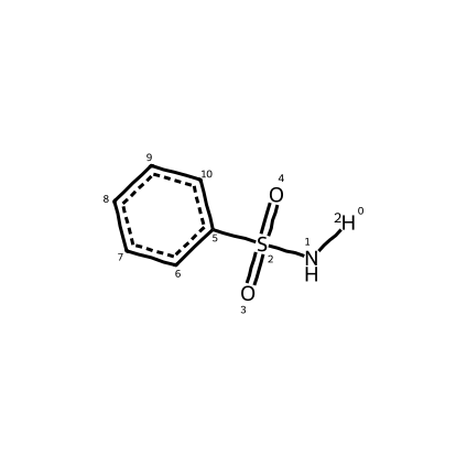 [2H]NS(=O)(=O)c1ccccc1